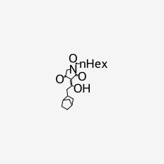 CCCCCCC(=O)N1CC(=O)/C(=C(/O)CC2CC3CCC2C3)C1=O